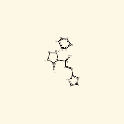 O=C(C=Cc1ccco1)N1C(=O)OC[C@@H]1c1ccccc1